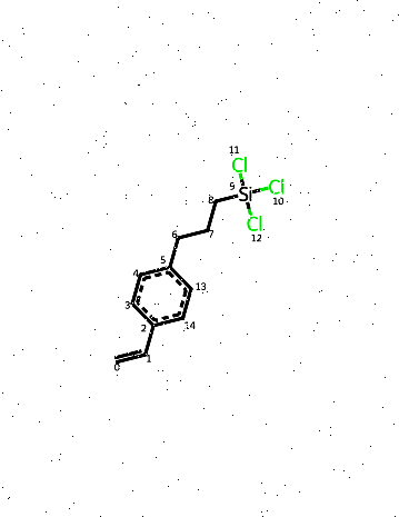 C=Cc1ccc(CCC[Si](Cl)(Cl)Cl)cc1